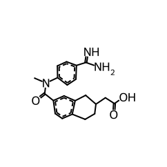 CN(C(=O)c1ccc2c(c1)CC(CC(=O)O)CC2)c1ccc(C(=N)N)cc1